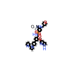 O=C(NS(=O)(=O)c1ccc(NCC2CCOCC2)c([N+](=O)[O-])c1)c1ccc(C2=CCC(N3CCCC3c3ccccn3)CC2)cc1Oc1cnc2[nH]ccc2c1